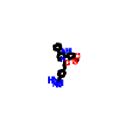 O=C(/C=C/c1ccc(-c2nnn[nH]2)cc1)N1CCc2c([nH]c3ccccc23)C1c1ccc2c(c1)OCO2